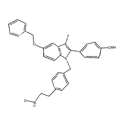 CCNCCc1ccc(Cn2c(-c3ccc(OC)cc3)c(F)c3cc(OCc4ccccc4)ccc32)cc1